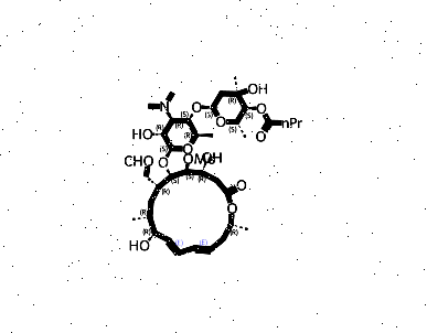 CCCC(=O)O[C@H]1[C@H](C)O[C@@H](O[C@H]2[C@H](N(C)C)[C@@H](O)[C@H](O[C@H]3[C@@H](CC=O)C[C@@H](C)[C@@H](O)/C=C/C=C/C[C@@H](C)OC(=O)C[C@@H](O)[C@@H]3OC)O[C@@H]2C)C[C@@]1(C)O